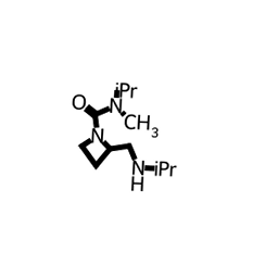 CC(C)NCC1CCN1C(=O)N(C)C(C)C